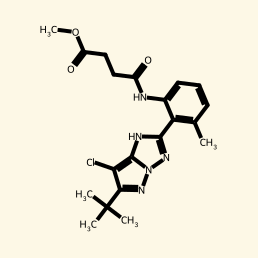 COC(=O)CCC(=O)Nc1cccc(C)c1-c1nn2nc(C(C)(C)C)c(Cl)c2[nH]1